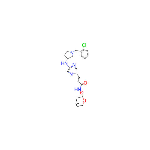 O=C(/C=C/c1cnc(N[C@@H]2CCN(Cc3ccccc3Cl)C2)cn1)NOC1CCCCO1